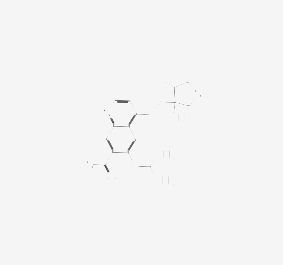 CC(C)Oc1cc2c(OCC3(C)CNCC3C)ccnc2cc1C(N)=O